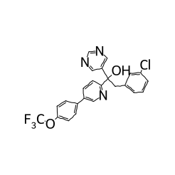 OC(Cc1cccc(Cl)c1)(c1cncnc1)c1ccc(-c2ccc(OC(F)(F)F)cc2)cn1